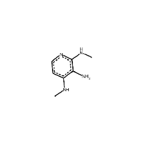 CNc1ccnc(NC)c1N